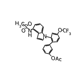 CC(=O)Oc1cccc(-c2ccc(OC(F)(F)F)cc2-n2ccc3c(NS(C)(=O)=O)cccc32)c1